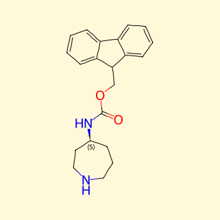 O=C(N[C@H]1CCCNCC1)OCC1c2ccccc2-c2ccccc21